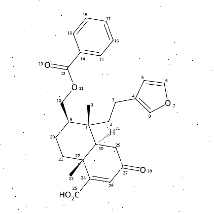 C[C@]1(CCc2ccoc2)[C@H](COC(=O)c2ccccc2)CC[C@@]2(C)C(C(=O)O)=CC(=O)C[C@H]12